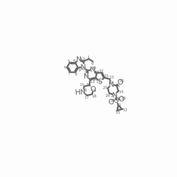 CCc1nc2ccccc2n1-c1nc(C2CNCCO2)c2sc(CN3CCN(S(=O)(=O)C4CC4)CC3=O)cc2n1